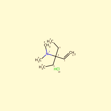 C=CC(CC)(CC)N(C)C.Cl